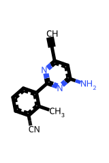 C#Cc1cc(N)nc(-c2cccc(C#N)c2C)n1